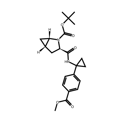 COC(=O)c1ccc(C2(NC(=O)[C@H]3C[C@@H]4C[C@@H]4N3C(=O)OC(C)(C)C)CC2)cc1